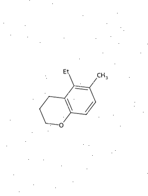 CCc1c(C)ccc2c1CCCO2